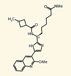 CNC(=O)CCCCC[C@H](NC(=O)C1CN(C)C1)c1ncc(-c2cc3ccccc3nc2OC)[nH]1